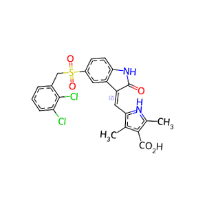 Cc1[nH]c(/C=C2\C(=O)Nc3ccc(S(=O)(=O)Cc4cccc(Cl)c4Cl)cc32)c(C)c1C(=O)O